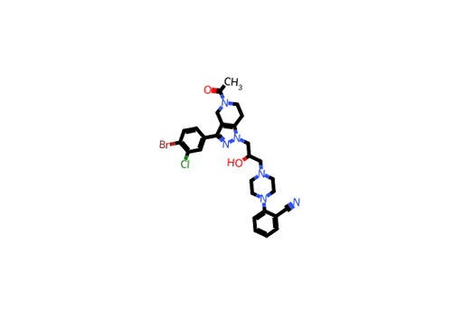 CC(=O)N1CCc2c(c(-c3ccc(Br)c(Cl)c3)nn2CC(O)CN2CCN(c3ccccc3C#N)CC2)C1